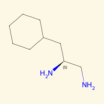 NC[C@@H](N)CC1CCCCC1